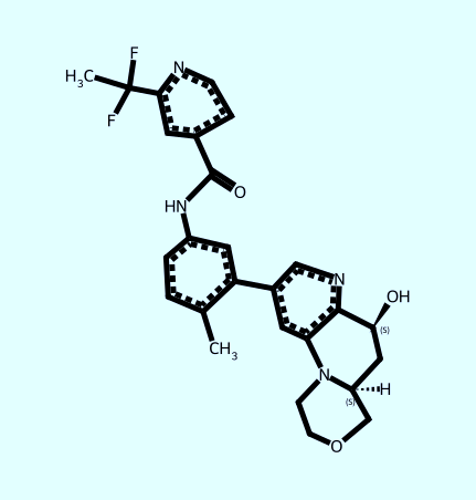 Cc1ccc(NC(=O)c2ccnc(C(C)(F)F)c2)cc1-c1cnc2c(c1)N1CCOC[C@@H]1C[C@@H]2O